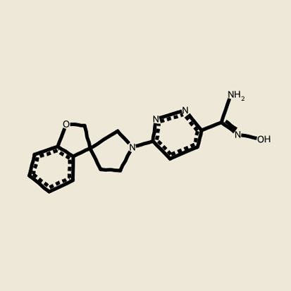 N/C(=N\O)c1ccc(N2CCC3(COc4ccccc43)C2)nn1